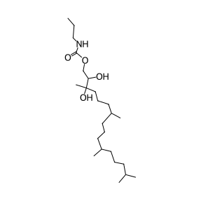 CCCNC(=O)OCC(O)C(C)(O)CCCC(C)CCCC(C)CCCC(C)C